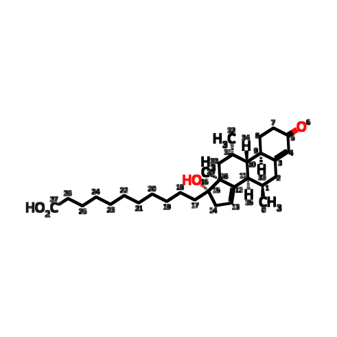 C[C@@H]1CC2=CC(=O)CC[C@@H]2[C@@H]2[C@@H]1C1=CC[C@@](O)(CCCCCCCCCCC(=O)O)[C@@]1(C)C[C@@H]2C